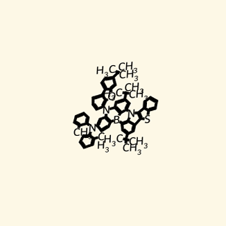 Cc1ccccc1N(c1ccc2c(c1)N(c1cccc3c1oc1cc(C(C)(C)C)ccc13)c1cc(C(C)(C)C)cc3c1B2c1cc(C(C)(C)C)cc2c4sc5ccccc5c4n-3c12)c1ccccc1C